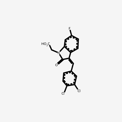 O=C(O)CN1C(=O)C(=Cc2ccc(Cl)c(Cl)c2)c2ccc(F)cc21